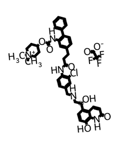 C[N+]1(C)CCC(OC(=O)Nc2cc(CCC(=O)Nc3ccc(CNC[C@H](O)c4ccc(O)c5[nH]c(=O)ccc45)cc3Cl)ccc2-c2ccccc2)CC1.O=C([O-])C(F)(F)F